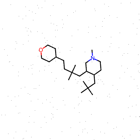 CN1CCC(CC(C)(C)C)C(CC(C)(C)CCC2CCOCC2)C1